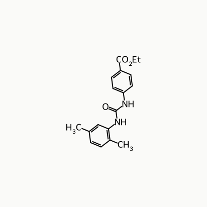 CCOC(=O)c1ccc(NC(=O)Nc2cc(C)ccc2C)cc1